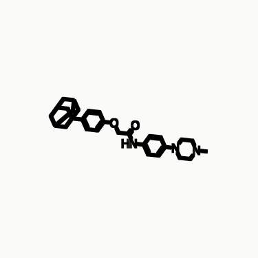 CN1CCN(c2ccc(NC(=O)COc3ccc(C45CC6CC(CC(C6)C4)C5)cc3)cc2)CC1